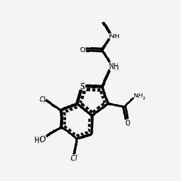 CNC(=O)Nc1sc2c(Cl)c(O)c(Cl)cc2c1C(N)=O